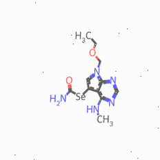 CCOCn1cc([Se]C(N)=O)c2c(NC)ncnc21